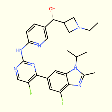 CCN1CC([C@@H](O)c2ccc(Nc3ncc(F)c(-c4cc(F)c5nc(C)n(C(C)C)c5c4)n3)nc2)C1